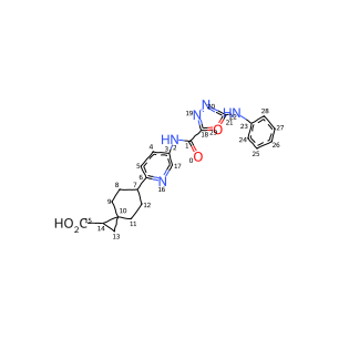 O=C(Nc1ccc(C2CCC3(CC2)CC3C(=O)O)nc1)c1nnc(Nc2ccccc2)o1